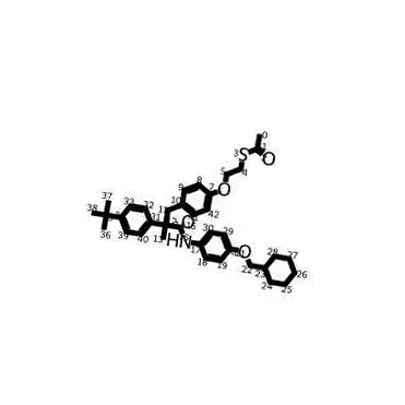 CC(=O)SCCOc1ccc(CC(C)(C(=O)Nc2ccc(OCC3CCCCC3)cc2)c2ccc(C(C)(C)C)cc2)cc1